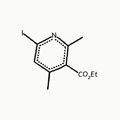 CCOC(=O)c1c(C)cc(I)nc1C